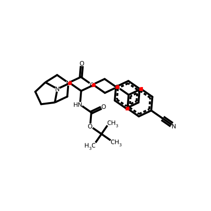 CC(C)(C)OC(=O)NC(CCOc1ccc(C#N)cc1)CN1C2CCC1CN(C(=O)OCc1ccccc1)C2